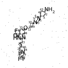 Nc1ccc(N2CCN(C3CC(COc4cc(F)c5c(=O)[nH]c(CSC6CCN(CC(F)(F)F)CC6)nc5c4)C3)CC2)cc1